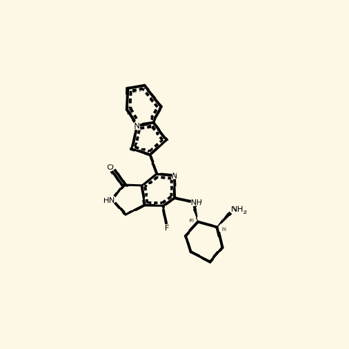 N[C@H]1CCCC[C@H]1Nc1nc(-c2cc3ccccn3c2)c2c(c1F)CNC2=O